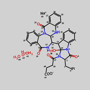 CC(C)CC1C(=O)N2c3ccccc3C(C3NC(=O)c4ccccc4N4C(=O)c5ccccc5NC34)C2(O)N1C(=O)CCC(=O)[O-].O.O.O.[Na+]